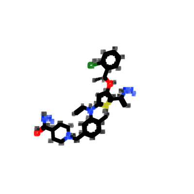 C=CN(c1cc(O[C@H](C)c2ccccc2Cl)c(C(=C)N)s1)c1cc(CN2CCC(C(N)=O)CC2)ccc1C